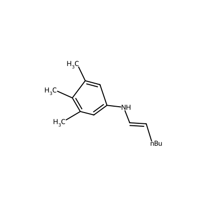 [CH2]CCCC=CNc1cc(C)c(C)c(C)c1